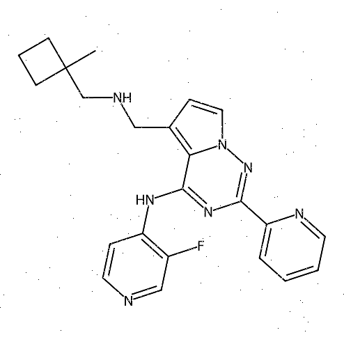 CC1(CNCc2ccn3nc(-c4ccccn4)nc(Nc4ccncc4F)c23)CCC1